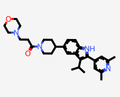 Cc1cc(-c2[nH]c3ccc(C4CCN(C(=O)CCN5CCOCC5)CC4)cc3c2C(C)C)cc(C)n1